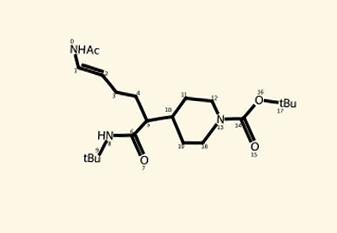 CC(=O)NC=CCCC(C(=O)NC(C)(C)C)C1CCN(C(=O)OC(C)(C)C)CC1